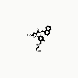 CNCCNCc1cc(-n2nc(C(F)(F)F)cc2C(=O)NCc2cccc3ccccc23)ccc1F